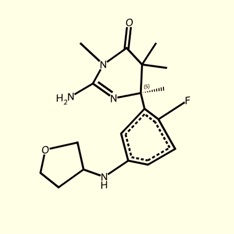 CN1C(=O)C(C)(C)[C@@](C)(c2cc(NC3CCOC3)ccc2F)N=C1N